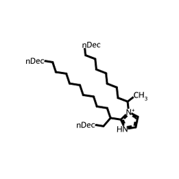 CCCCCCCCCCCCCCCCCCCC(CCCCCCCCCCC)c1[nH]cc[n+]1C(C)CCCCCCCCCCCCCCCCC